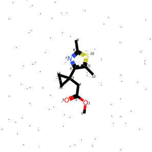 COC(=O)CC1(c2nc(C)sc2C)CC1